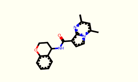 Cc1cc(C)n2ccc(C(=O)NC3CCOc4ccccc43)c2n1